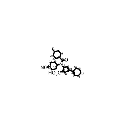 CC1CCC(C(=O)N(c2cc(C3=CCCCC3)sc2C(=O)O)C2CCN(C#N)CC2)CC1